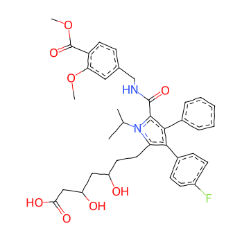 COC(=O)c1ccc(CNC(=O)c2c(-c3ccccc3)c(-c3ccc(F)cc3)c(CCC(O)CC(O)CC(=O)O)n2C(C)C)cc1OC